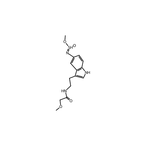 COCC(=O)NCCc1c[nH]c2ccc(N=[SH](=O)OC)cc12